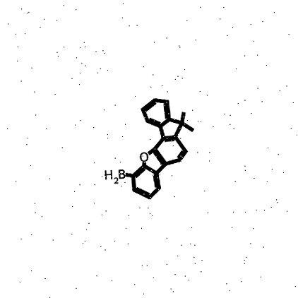 Bc1cccc2c1oc1c3c(ccc12)C(C)(C)c1ccccc1-3